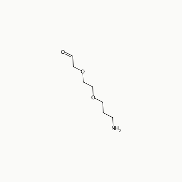 NCCCOCCOCC=O